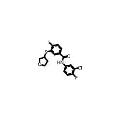 O=C(Nc1ccc(F)c(Cl)c1)c1ccc(I)c(SC2CCOC2)c1